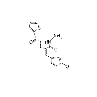 COc1ccc(C=C(CCC(=O)c2cccs2)C(=O)NN)cc1